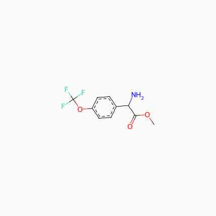 COC(=O)C(N)c1ccc(OC(F)(F)F)cc1